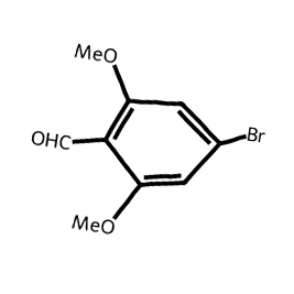 COc1cc(Br)cc(OC)c1C=O